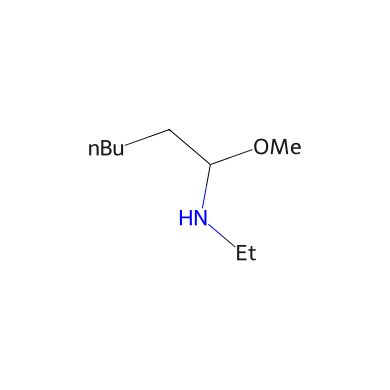 CCCCCC(NCC)OC